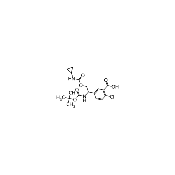 CC(C)(C)OC(=O)NC(COC(=O)NC1CC1)c1ccc(Cl)c(C(=O)O)c1